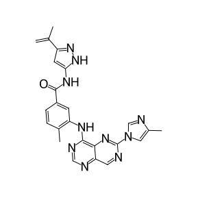 C=C(C)c1cc(NC(=O)c2ccc(C)c(Nc3ncnc4cnc(-n5cnc(C)c5)nc34)c2)[nH]n1